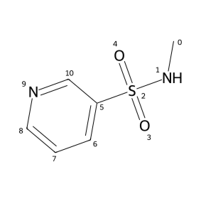 CNS(=O)(=O)c1cccnc1